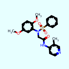 COc1ccc(OC)c(N(CC(=O)Nc2ccncc2C)S(=O)(=O)c2ccccc2)c1